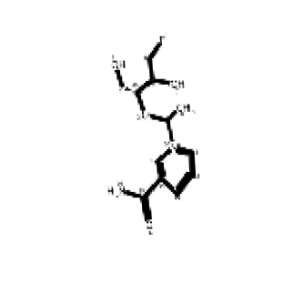 CC(O[C@H](CO)C(O)CF)[n+]1cccc(C(N)=O)c1